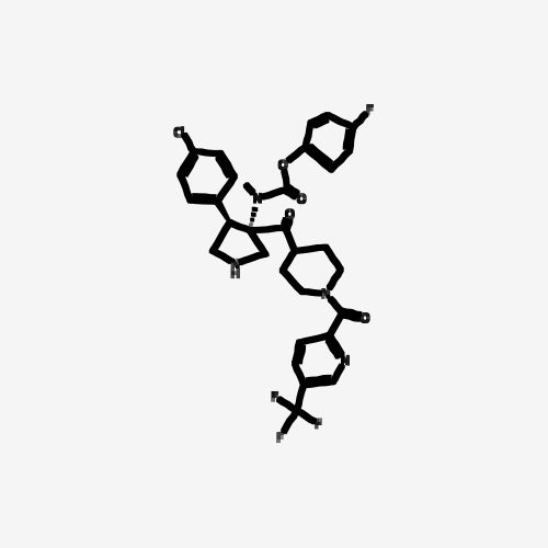 CN(C(=O)Oc1ccc(F)cc1)[C@]1(C(=O)C2CCN(C(=O)c3ccc(C(F)(F)F)cn3)CC2)CNC[C@H]1c1ccc(Cl)cc1